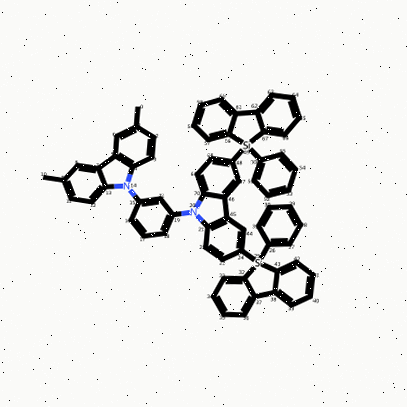 Cc1ccc2c(c1)c1cc(C)ccc1n2-c1cccc(-n2c3ccc([Si]4(c5ccccc5)c5ccccc5-c5ccccc54)cc3c3cc([Si]4(c5ccccc5)c5ccccc5-c5ccccc54)ccc32)c1